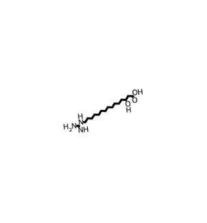 N=C(N)NCCCCCCCCCCCCC(O)CC(=O)O